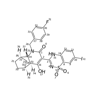 O=C1C(C2=NS(=O)(=O)c3cc(I)ccc3N2)=C(O)[C@H]2[C@H]3CC[C@H](C3)[C@@H]2N1Cc1ccc(F)cc1